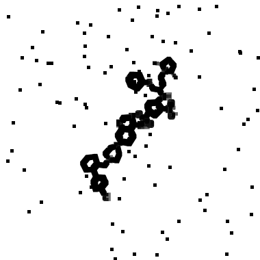 C[C@@H]1CC[C@H](C)N1CC[C@H](CSc1ccccc1)Nc1ccc(S(=O)(=O)Nc2ncnc3cc(N4CCN(CC5=C(c6ccc(Cl)cc6)CCCC5)CC4)ccc23)cc1[N+](=O)[O-]